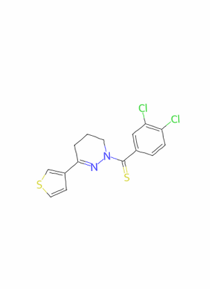 S=C(c1ccc(Cl)c(Cl)c1)N1CCCC(c2ccsc2)=N1